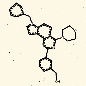 OCc1cccc(-c2nc(N3CCOCC3)c3ccc4c(ccn4Cc4ccccc4)c3n2)c1